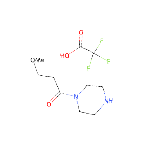 COCCC(=O)N1CCNCC1.O=C(O)C(F)(F)F